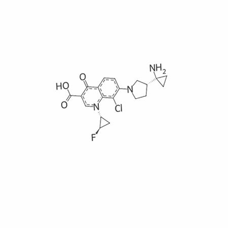 NC1([C@@H]2CCN(c3ccc4c(=O)c(C(=O)O)cn([C@@H]5C[C@H]5F)c4c3Cl)C2)CC1